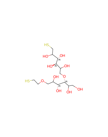 OCC(O)[C@@H](OCC(O)[C@@H](O)[C@@H](O)C(O)CS)[C@H](O)C(O)COCCS